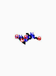 CCc1nc(CN(C(=O)[C@H]2CN[C@@H](COC)CO2)C2CC2)cc2c1ncn2CCCOC